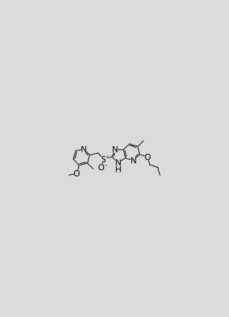 CCCOc1nc2[nH]c([S+]([O-])Cc3nccc(OC)c3C)nc2cc1C